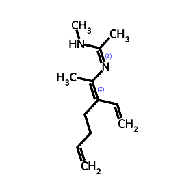 C=CCC/C(C=C)=C(C)/N=C(/C)NC